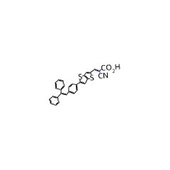 N#C/C(=C\c1cc2sc(-c3ccc(C=C(c4ccccc4)c4ccccc4)cc3)cc2s1)C(=O)O